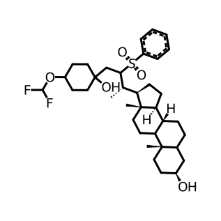 C[C@H](C(CC1(O)CCC(OC(F)F)CC1)S(=O)(=O)c1ccccc1)[C@H]1CC[C@H]2[C@@H]3CCC4C[C@@H](O)CC[C@]4(C)C3CC[C@]12C